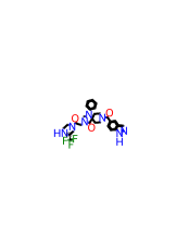 O=C(CN1CN(c2ccccc2)C2(CCN(C(=O)c3ccc4[nH]ncc4c3)CC2)C1=O)N1CCN[C@H](C(F)(F)F)C1